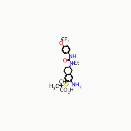 CCN(C(=O)Nc1ccc(OC(F)(F)F)cc1)C1CCc2cc(SC(C)(C)C(=O)O)c(N)cc2C1